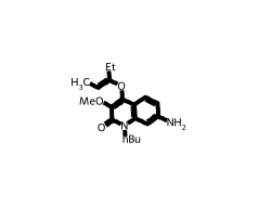 CC=C(CC)Oc1c(OC)c(=O)n(CCCC)c2cc(N)ccc12